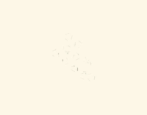 O=S(=O)(Oc1cc(-c2ccccc2-c2ccc(-c3ccc4ccccc4n3)cc2)cc(-c2ccccc2-c2cnc(-c3ccccc3)cc2-c2ccccc2)c1)C(F)(F)F